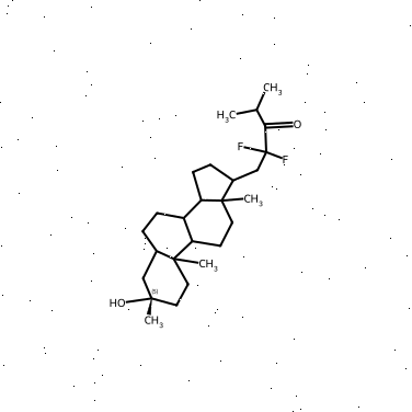 CC(C)C(=O)C(F)(F)CC1CCC2C3CCC4C[C@@](C)(O)CCC4(C)C3CCC12C